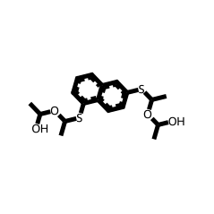 CC(O)OC(C)Sc1ccc2c(SC(C)OC(C)O)cccc2c1